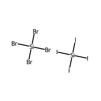 Br[Si](Br)(Br)Br.I[Si](I)(I)I